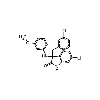 COc1cccc(NC2(Cc3cccc(Cl)c3)C(=O)Nc3cc(Cl)ccc32)c1